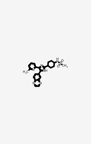 Cc1cccc(-c2nc(C3CCC(NS(C)(=O)=O)CC3)[nH]c2-c2ccc3nccnc3c2)n1